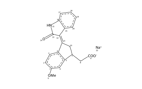 COc1ccc2c(c1)C(CC(=O)[O-])CC2=C1C(=O)Nc2ccccc21.[Na+]